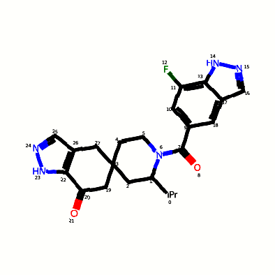 CC(C)C1CC2(CCN1C(=O)c1cc(F)c3[nH]ncc3c1)CC(=O)c1[nH]ncc1C2